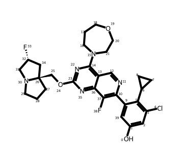 Oc1cc(Cl)c(C2CC2)c(-c2ncc3c(N4CCCOCC4)nc(OC[C@@]45CCCN4C[C@H](F)C5)nc3c2F)c1